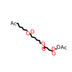 CC(=O)CCCCCOC(=O)CCCCCOC(=O)CCC(=O)OCOC(C)=O